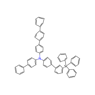 c1ccc(-c2ccc(-c3ccc(N(c4ccc(-c5ccccc5)cc4)c4ccc(-c5cccc([Si](c6ccccc6)(c6ccccc6)c6ccccc6)c5)cc4)cc3)cc2)cc1